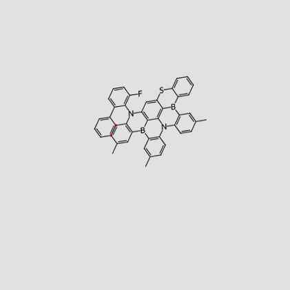 Cc1ccc2c(c1)B1c3cc(C)ccc3N3c4ccc(C)cc4B4c5ccccc5Sc5cc(c1c3c54)N2c1c(F)cccc1-c1ccccc1